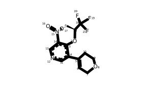 C[C@H](Oc1c(C2=CCOCC2)cncc1[N+](=O)[O-])C(F)(F)F